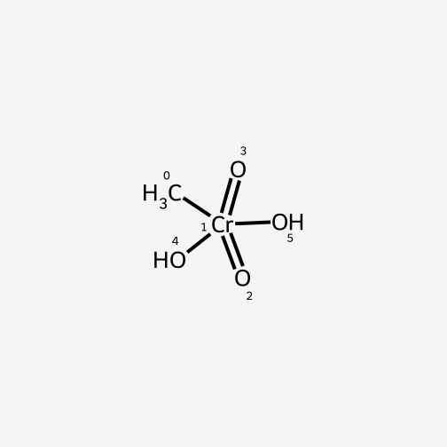 [CH3][Cr](=[O])(=[O])([OH])[OH]